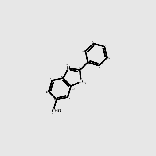 O=Cc1ccc2nc(-c3ccccc3)oc2c1